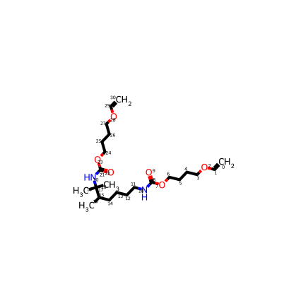 C=COCCCCOC(=O)NCCCCC(C)C(C)(C)NC(=O)OCCCCOC=C